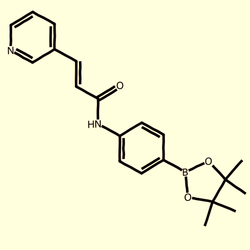 CC1(C)OB(c2ccc(NC(=O)/C=C/c3cccnc3)cc2)OC1(C)C